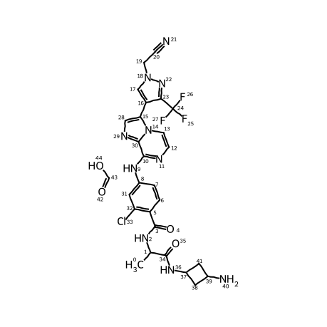 CC(NC(=O)c1ccc(Nc2nccn3c(-c4cn(CC#N)nc4C(F)(F)F)cnc23)cc1Cl)C(=O)NC1CC(N)C1.O=CO